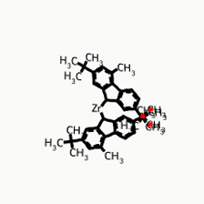 Cc1cc(C(C)(C)C)cc2c1-c1ccc(C(C)(C)C)cc1[CH]2[Zr][CH]1c2cc(C(C)(C)C)ccc2-c2c(C)cc(C(C)(C)C)cc21